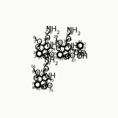 CCOC(=O)C1=C(COCCN)NC(C)=C(C(=O)OC)C1c1ccccc1Cl.CCOC(=O)C1=C(COCCN)NC(C)=C(C(=O)OC)C1c1ccccc1Cl.CCOC(=O)C1=C(COCCN)NC(C)=C(C(=O)OC)C1c1ccccc1Cl.O=S(=O)(O)c1ccccc1